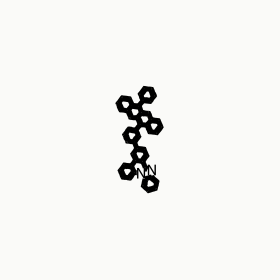 c1ccc(-c2c3ccccc3cc3c(-c4cccc(-c5ccc6c(c5)c5ccccc5n5c7ccccc7nc65)c4)c4ccccc4cc23)cc1